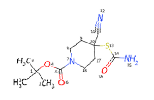 CC(C)(C)OC(=O)N1CCC(C#N)(SC(N)=O)CC1